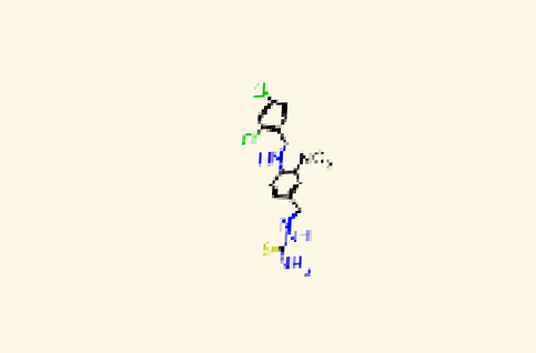 NC(=S)NN=Cc1ccc(NCc2ccc(Cl)cc2Cl)c([N+](=O)[O-])c1